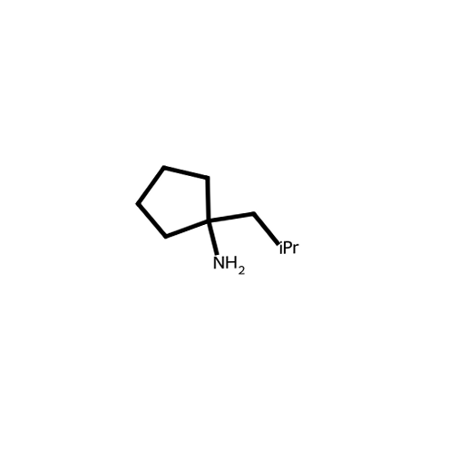 CC(C)CC1(N)CCCC1